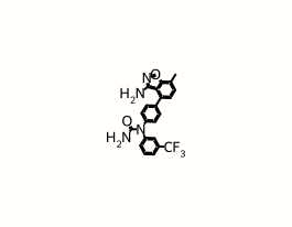 Cc1ccc(-c2ccc(N(C(N)=O)c3cccc(C(F)(F)F)c3)cc2)c2c(N)noc12